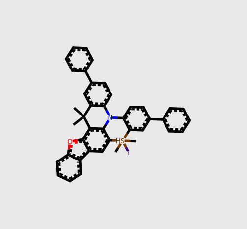 CC1(C)c2cc(-c3ccccc3)ccc2N2c3ccc(-c4ccccc4)cc3[SH](C)(C)(I)c3cc4c(oc5ccccc54)c1c32